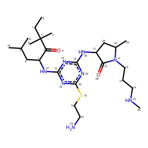 CCC(C)(C)C(=O)C(CC(C)C)Nc1nc(NC2CC(C)N(CCCNC)C2=O)nc(SCCN)n1